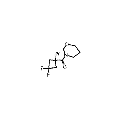 CC(C)C1(C(=O)N2CCCOC2)CC(F)(F)C1